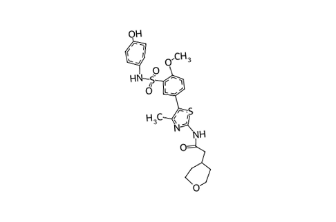 COc1ccc(-c2sc(NC(=O)CC3CCOCC3)nc2C)cc1S(=O)(=O)Nc1ccc(O)cc1